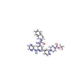 CC(C)(C)OC(=O)N1CCN(c2cc(-c3cc(NC(=O)N4CCc5ccccc5C4)cc(Nc4cnccn4)n3)ccn2)CC1